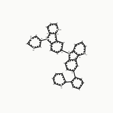 c1ccc(-c2ccccc2-c2ccc3c(c2)c2ncccc2n3-c2ccc3c(c2)c2ncccc2n3-c2cncnc2)nc1